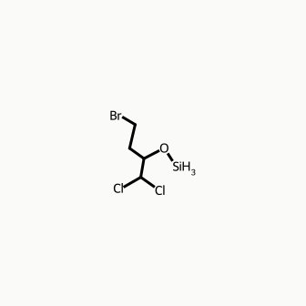 [SiH3]OC(CCBr)C(Cl)Cl